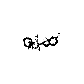 Fc1ccc2cc(C3=NN[C@@]4(CC5CCC4CC5)N3)oc2c1